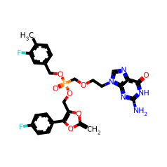 C=C1OC(COP(=O)(COCCn2cnc3c(=O)[nH]c(N)nc32)OCc2ccc(C)c(F)c2)=C(c2ccc(F)cc2)O1